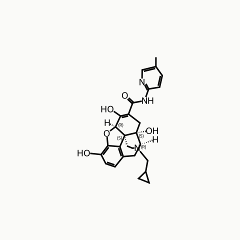 Cc1ccc(NC(=O)C2=C(O)[C@@H]3Oc4c(O)ccc5c4[C@@]34CCN(CC3CC3)[C@H](C5)[C@]4(O)C2)nc1